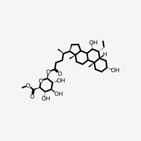 CC[C@H]1[C@@H](O)C2C3CC[C@H]([C@H](C)CCC(=O)O[C@@H]4O[C@H](C(=O)OC)[C@@H](O)[C@H](O)[C@H]4O)[C@@]3(C)CCC2[C@@]2(C)CC[C@@H](O)C[C@@H]12